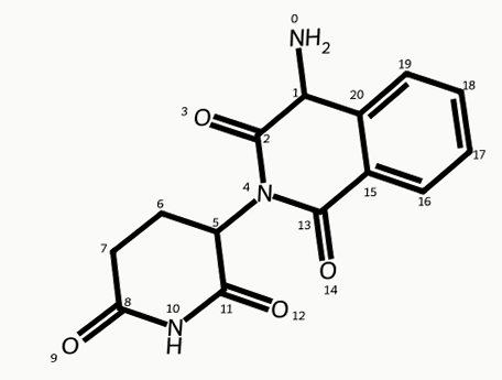 NC1C(=O)N(C2CCC(=O)NC2=O)C(=O)c2ccccc21